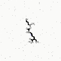 C=CC(C/C=C/NC(=O)ON(C)CCCC(C)=O)C(N)=O